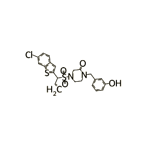 C=CC(c1cc2ccc(Cl)cc2s1)S(=O)(=O)N1CCN(Cc2cccc(O)c2)C(=O)C1